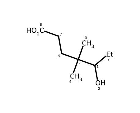 CCC(O)C(C)(C)CCC(=O)O